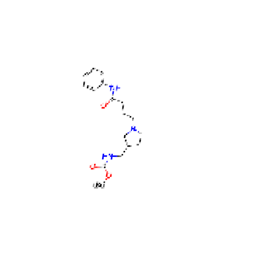 CC(C)(C)OC(=O)NCC1CCN(CCCC(=O)Nc2ccccc2)C1